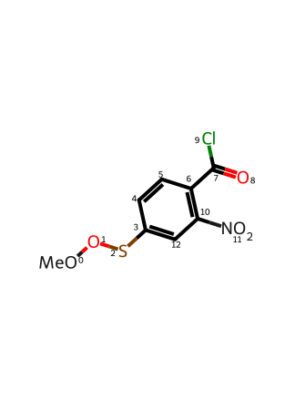 COOSc1ccc(C(=O)Cl)c([N+](=O)[O-])c1